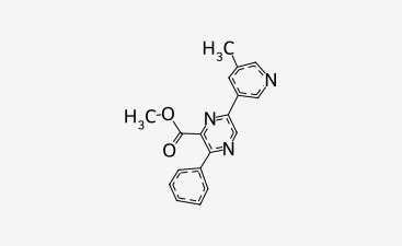 COC(=O)c1nc(-c2cncc(C)c2)cnc1-c1ccccc1